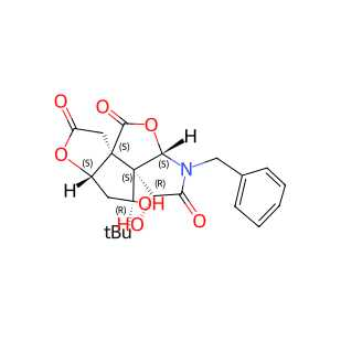 CC(C)(C)[C@]1(O)C[C@@H]2OC(=O)C[C@@]23C(=O)O[C@@H]2N(Cc4ccccc4)C(=O)[C@H](O)[C@]213